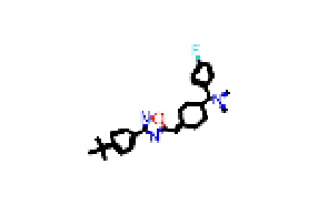 CN(C)C(c1ccc(F)cc1)C1CCC(=Cc2nc(-c3ccc(C(C)(C)C)cc3)no2)CC1